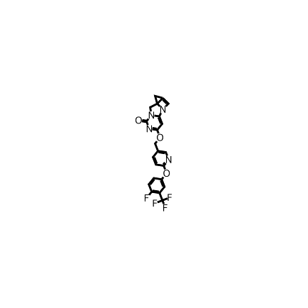 O=c1nc(OCc2ccc(Oc3ccc(F)c(C(F)(F)F)c3)nc2)cc2n1CC13CC1=CN23